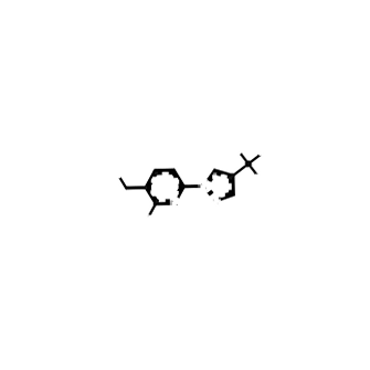 OCc1ccc(-n2cc(C(F)(F)F)cn2)nc1F